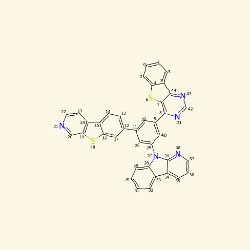 c1ccc2c(c1)sc1c(-c3cc(-c4ccc5c(c4)sc4cnccc45)cc(-n4c5ccccc5c5cccnc54)c3)ncnc12